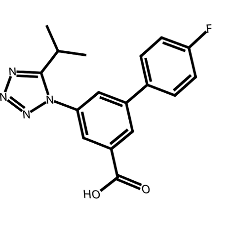 CC(C)c1nnnn1-c1cc(C(=O)O)cc(-c2ccc(F)cc2)c1